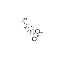 CC[C@@H](N[C@@H](C)CC(=O)NCC(C)(C)O)c1ccc(Cl)c(Oc2ccccc2)c1F